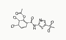 CC(=O)OC1=C(C(=O)Nc2ncc(S(C)(=O)=O)s2)C=CC(Cl)C1Cl